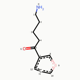 NCCCCC(=O)c1cbccc1